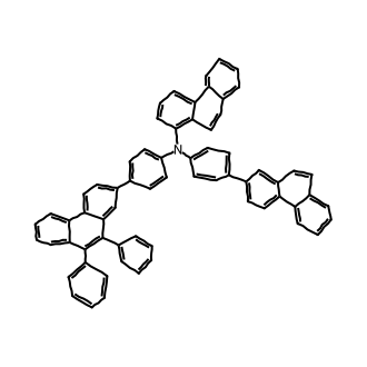 c1ccc(-c2c(-c3ccccc3)c3cc(-c4ccc(N(c5ccc(-c6ccc7c(ccc8ccccc87)c6)cc5)c5cccc6c5ccc5ccccc56)cc4)ccc3c3ccccc23)cc1